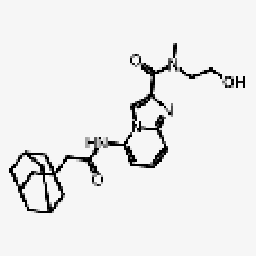 CN(CCO)C(=O)c1cn2c(NC(=O)CC34CC5CC(CC(C5)C3)C4)cccc2n1